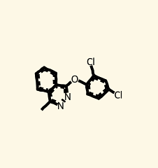 Cc1nnc(Oc2ccc(Cl)cc2Cl)c2ccccc12